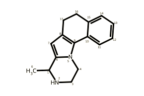 CC1NCCn2c1cc1c2-c2ccccc2CC1